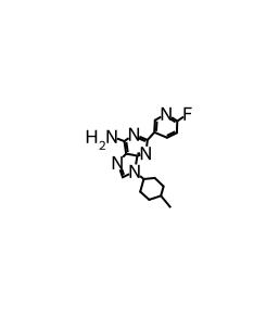 CC1CCC(n2cnc3c(N)nc(-c4ccc(F)nc4)nc32)CC1